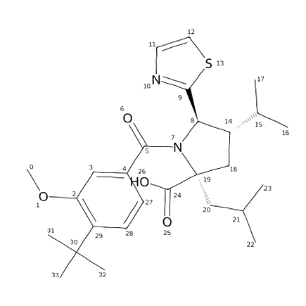 COc1cc(C(=O)N2[C@@H](c3nccs3)[C@H](C(C)C)C[C@@]2(CC(C)C)C(=O)O)ccc1C(C)(C)C